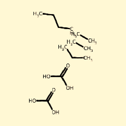 CC.CC.CCC.CCCC.O=C(O)O.O=C(O)O